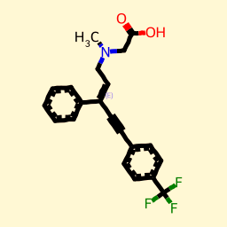 CN(C/C=C(/C#Cc1ccc(C(F)(F)F)cc1)c1ccccc1)CC(=O)O